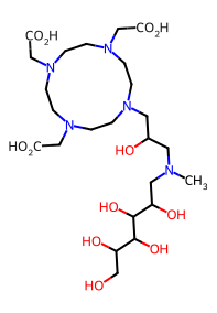 CN(CC(O)CN1CCN(CC(=O)O)CCN(CC(=O)O)CCN(CC(=O)O)CC1)CC(O)C(O)C(O)C(O)CO